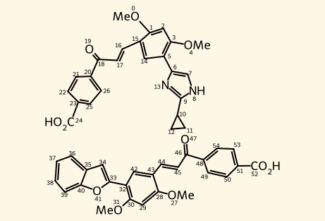 COc1cc(OC)c(-c2c[nH]c(C3CC3)n2)cc1/C=C/C(=O)c1ccc(C(=O)O)cc1.COc1cc(OC)c(-c2cc3ccccc3o2)cc1/C=C/C(=O)c1ccc(C(=O)O)cc1